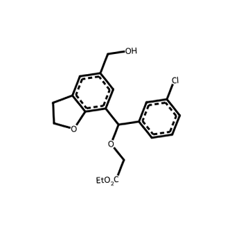 CCOC(=O)COC(c1cccc(Cl)c1)c1cc(CO)cc2c1OCC2